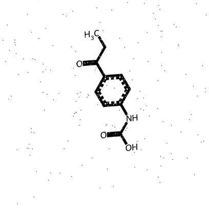 CCC(=O)c1ccc(NC(=O)O)cc1